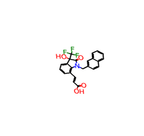 O=C(O)C=Cc1cccc2c1N(Cc1ccc3ccccc3c1)C(=O)C2(O)C(F)(F)F